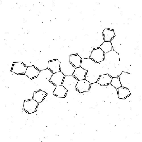 CCn1c2ccccc2c2cc(-c3cccc4c(-c5c6cccc(-c7ccc8ccccc8c7)c6cc6c(-c7ccc8ccccc8c7)cccc56)c5cccc(-c6ccc7c(c6)c6ccccc6n7CC)c5cc34)ccc21